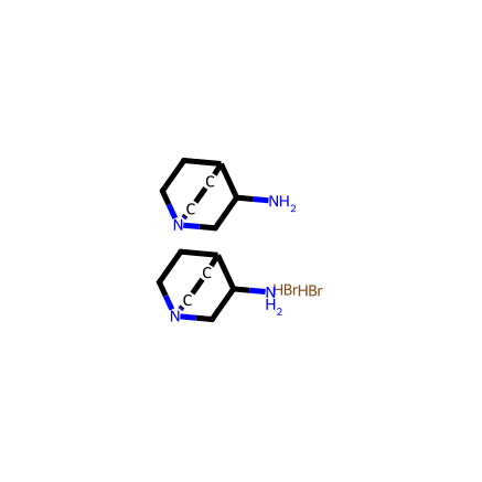 Br.Br.NC1CN2CCC1CC2.NC1CN2CCC1CC2